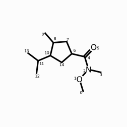 CON(C)C(=O)C1CC(C)C(C(C)C)C1